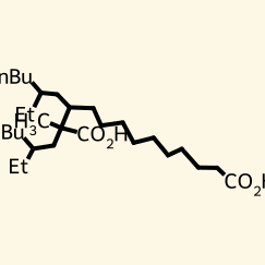 CCCCC(CC)CC(CCCCCCCCCC(=O)O)C(C)(CC(CC)CCCC)C(=O)O